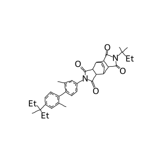 CCC(C)(CC)c1ccc(-c2ccc(N3C(=O)C4C5C=CC(C4C3=O)C3C(=O)N(C(C)(C)CC)C(=O)C53)cc2C)c(C)c1